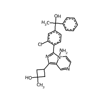 CC1(O)CC(C2=C3C=NC=C[N+]3(N)C(c3ccc(C(C)(O)c4ccccc4)cc3Cl)=N2)C1